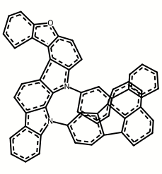 c1ccc(-c2cccc(-n3c4ccc5oc6ccccc6c5c4c4ccc5c6ccccc6n(-c6ccc7c(c6)-c6cccc8cccc-7c68)c5c43)c2)cc1